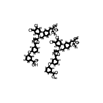 COC(=O)c1cccc(Oc2cccc(-c3nnc(N(Cc4ccc(CP(=O)(OF)OF)cc4)c4ccc(Cl)c(Cl)c4)o3)c2)c1.O=C(O)c1cccc(Oc2cccc(-c3nnc(N(Cc4ccc(CP(=O)(OF)OF)cc4)c4ccc(Cl)c(Cl)c4)o3)c2)c1